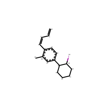 C=C/C=C\c1ccc(C2CCCCC2I)cc1C